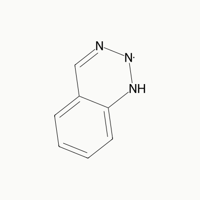 C1=N[N]Nc2ccccc21